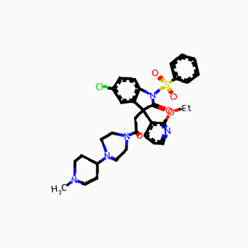 CCOc1ncccc1C1(CC(=O)N2CCN(C3CCN(C)CC3)CC2)C(=O)N(S(=O)(=O)c2ccccc2)c2ccc(Cl)cc21